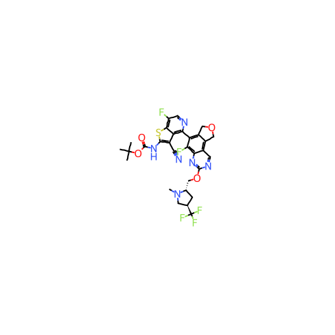 CN1C[C@H](C(F)(F)F)C[C@H]1COc1ncc2c3c(c(-c4ncc(F)c5sc(NC(=O)OC(C)(C)C)c(C#N)c45)c(F)c2n1)COC3